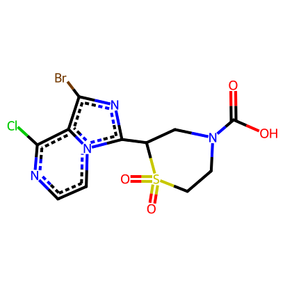 O=C(O)N1CCS(=O)(=O)C(c2nc(Br)c3c(Cl)nccn23)C1